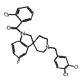 O=C(c1ccccc1Cl)N1CC2(CCN(Cc3ccc(Cl)c(Cl)c3)CC2)c2cc(F)ccc21